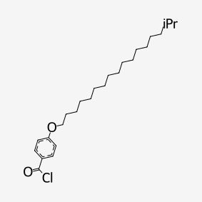 CC(C)CCCCCCCCCCCCCCCOc1ccc(C(=O)Cl)cc1